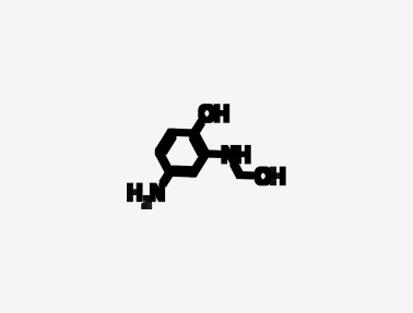 Nc1ccc(O)c(NCO)c1